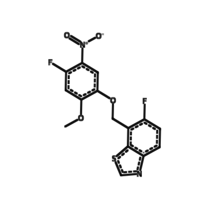 COc1cc(F)c([N+](=O)[O-])cc1OCc1c(F)ccc2ncsc12